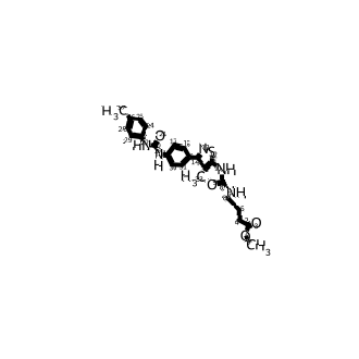 COC(=O)CCCNC(=O)Nc1snc(-c2ccc(NC(=O)Nc3ccc(C)cc3)cc2)c1C